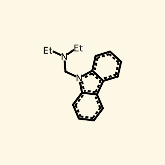 CCN(CC)Cn1c2ccccc2c2ccccc21